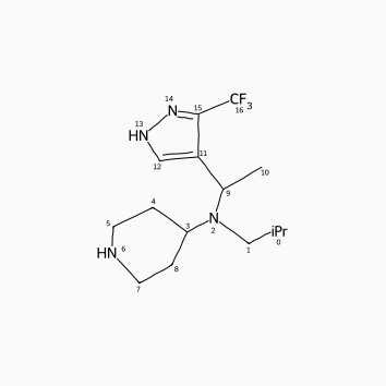 CC(C)CN(C1CCNCC1)C(C)c1c[nH]nc1C(F)(F)F